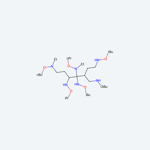 CCCCON(CC)CC[C](NOC(C)C)C(NOC(C)CC)(C(CCNOC(C)(C)C)CNOCC(C)C)N(CC)OCCC